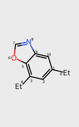 CCc1cc(CC)c2ocnc2c1